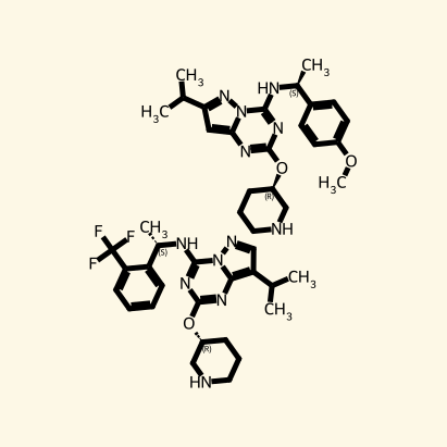 CC(C)c1cnn2c(N[C@@H](C)c3ccccc3C(F)(F)F)nc(O[C@@H]3CCCNC3)nc12.COc1ccc([C@H](C)Nc2nc(O[C@@H]3CCCNC3)nc3cc(C(C)C)nn23)cc1